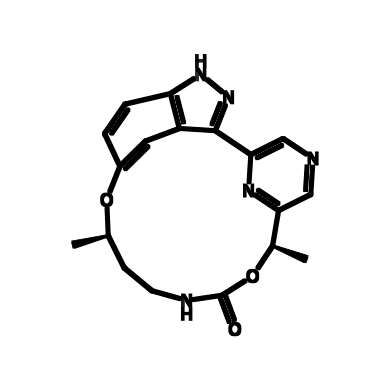 C[C@@H]1CCNC(=O)O[C@H](C)c2cncc(n2)-c2n[nH]c3ccc(cc23)O1